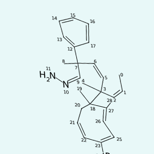 C/C=C\C(C)(/C=C\C(C)(/C=N\N)c1ccccc1)C1(C)C\C=C/C(C(C)(C)C)=C\C=C\1C